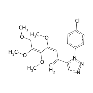 C=C(/C=C(OC)\C(OC)=C(/COC)OC)c1cnnn1-c1ccc(Cl)cc1